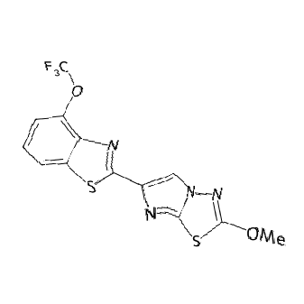 COc1nn2cc(-c3nc4c(OC(F)(F)F)cccc4s3)nc2s1